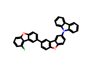 Fc1cccc2oc3ccc(-c4ccc5oc6ccc(-n7c8ccccc8c8ccccc87)cc6c5c4)cc3c12